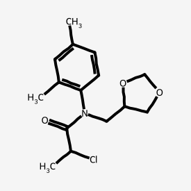 Cc1ccc(N(CC2COCO2)C(=O)C(C)Cl)c(C)c1